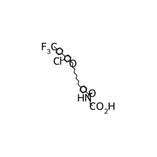 O=C(O)CCNC(=O)c1ccc(CCCCCCCOc2ccc(-c3ccc(C(F)(F)F)cc3)c(Cl)c2)cc1